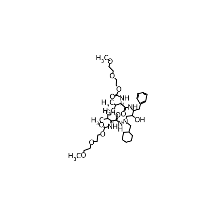 COCCOCCOC(=O)N[C@H](C(=O)NC(Cc1ccccc1)C(O)CN(CC1CCCCC1)NC(=O)[C@@H](NC(=O)OCCOCCOC)C(C)C)C(C)C